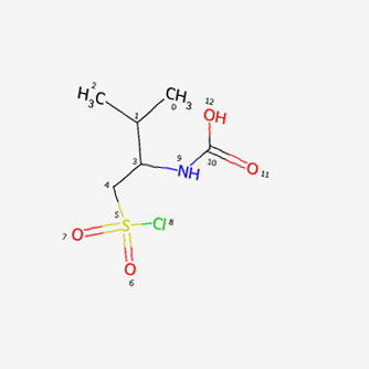 CC(C)C(CS(=O)(=O)Cl)NC(=O)O